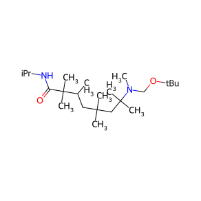 CC(C)NC(=O)C(C)(C)C(C)CC(C)(C)CC(C)(C)N(C)COC(C)(C)C